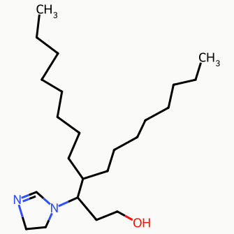 CCCCCCCCC(CCCCCCCC)C(CCO)N1C=NCC1